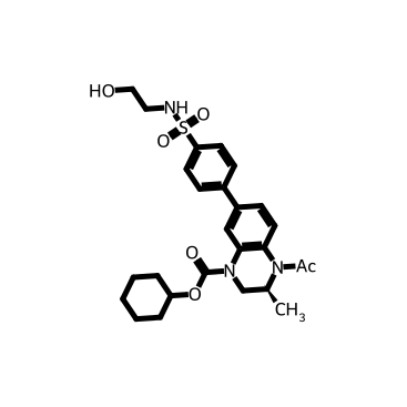 CC(=O)N1c2ccc(-c3ccc(S(=O)(=O)NCCO)cc3)cc2N(C(=O)OC2CCCCC2)C[C@@H]1C